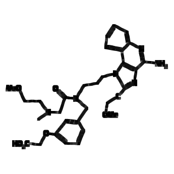 COCCc1nc2c(N)nc3ccccc3c2n1CCCN(Cc1cccc(OCC(=O)O)c1)C(=O)CN(C)CCOC